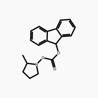 CC1CCCN1OC(=O)OC1c2ccccc2-c2ccccc21